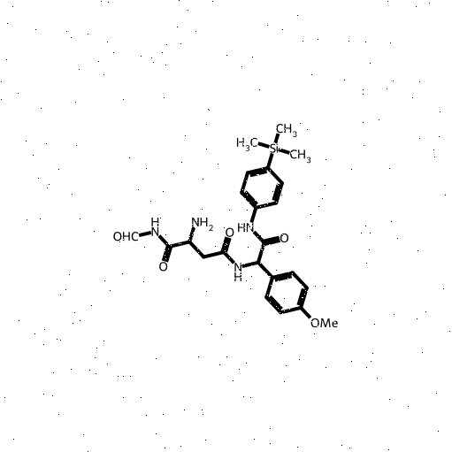 COc1ccc(C(NC(=O)CC(N)C(=O)NC=O)C(=O)Nc2ccc([Si](C)(C)C)cc2)cc1